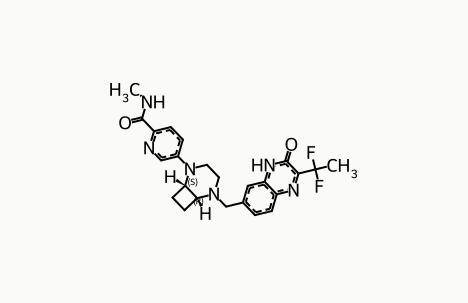 CNC(=O)c1ccc(N2CCN(Cc3ccc4nc(C(C)(F)F)c(=O)[nH]c4c3)[C@@H]3CC[C@@H]32)cn1